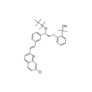 CC(C)(O)c1ccccc1CC[C@H](O[Si](C)(C)C(C)(C)C)c1cccc(C=Cc2ccc3ccc(Cl)cc3n2)c1